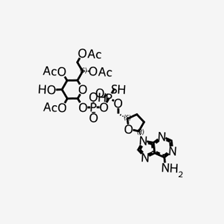 CC(=O)OC[C@H](OC(C)=O)C1OC(OP(=O)(O)OP(=O)(S)OC[C@@H]2CC[C@H](n3cnc4c(N)ncnc43)O2)C(OC(C)=O)C(O)C1OC(C)=O